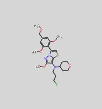 COCc1cc(OC)c(-c2csc3c(N(CCCF)C4CCOCC4)c(OC)nn23)c(OC)c1